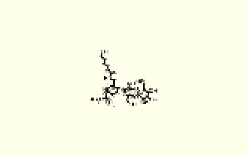 C=CCCCOC(=O)NCC1O[C@@H]2OC(C)(C(=O)O)OC2C[C@@H]1O[C@@H]1OC(CO)[C@H](O[C@H]2OC(CO)[C@H](O)C(O)C2O)C(O)C1O